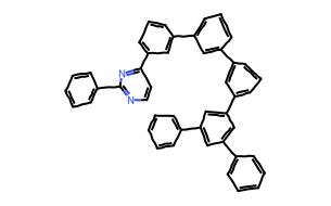 c1ccc(-c2cc(-c3ccccc3)cc(-c3cccc(-c4cccc(-c5cccc(-c6ccnc(-c7ccccc7)n6)c5)c4)c3)c2)cc1